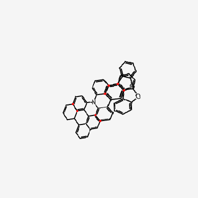 C1=CCC(c2cccc3cccc(-c4ccccc4N(c4cccc(-c5cccc6oc7ccccc7c56)c4)c4ccccc4-c4ccc5c(c4)oc4ccccc45)c23)CC1